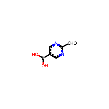 O=Cc1ncc(B(O)O)cn1